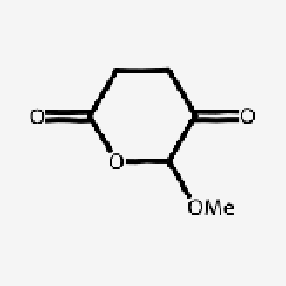 CO[C]1OC(=O)CCC1=O